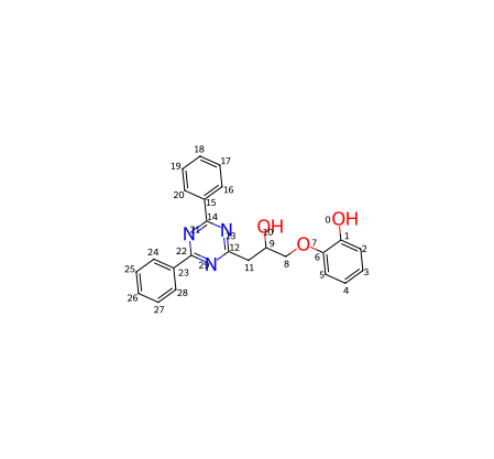 Oc1ccccc1OCC(O)Cc1nc(-c2ccccc2)nc(-c2ccccc2)n1